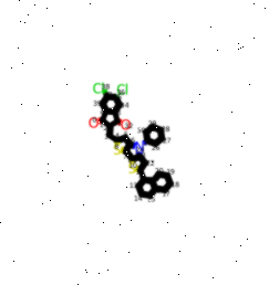 O=C1C(=Cc2cc3c(s2)c2sc(-c4cccc5ccccc45)cc2n3-c2ccccc2)C(=O)c2cc(Cl)c(Cl)cc21